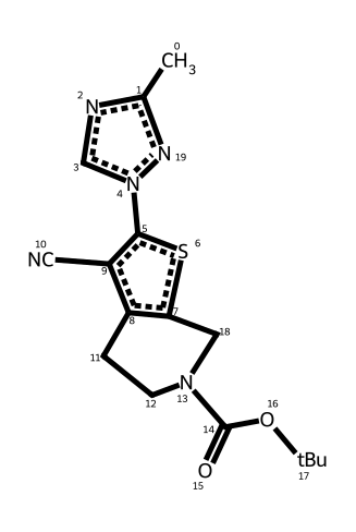 Cc1ncn(-c2sc3c(c2C#N)CCN(C(=O)OC(C)(C)C)C3)n1